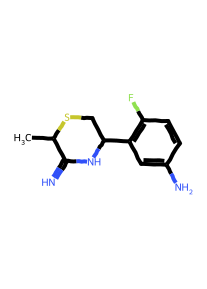 CC1SCC(c2cc(N)ccc2F)NC1=N